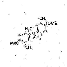 COc1ccc(C(C)(C)c2ccc(OC)c(C)c2)cc1C